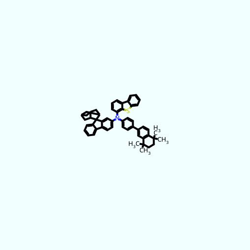 CC1(C)CCC(C)(C)c2cc(-c3ccc(N(c4ccc5c(c4)C4(c6ccccc6-5)C5CC6CC(C5)C4C6)c4cccc5c4sc4ccccc45)cc3)ccc21